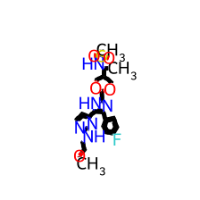 COCCNc1nccc(-c2[nH]c(C3OCC(C(C)NS(C)(=O)=O)CO3)nc2-c2ccc(F)cc2)n1